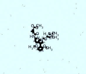 COC(=O)[C@@H]1C[C@@H]1C(=O)Nc1ccc2c(-c3c(OC)cccc3OC)cn(COCC[Si](C)(C)C)c2n1